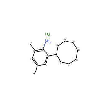 Cc1cc(C)c(N)c(C2CCCCCCC2)c1.Cl